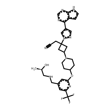 C[C@@H](O)CNCc1cc(OC2CCN(C3CC(CC#N)(n4cc(-c5ncnc6[nH]ccc56)cn4)C3)CC2)nc(C(F)(F)F)c1